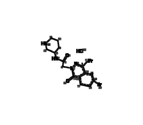 CC(C)c1nn(CC(=O)NC2CCCNC2)c(=O)c2ccc(Br)cc12.Cl